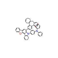 C1=CCC2=C(CC1)Cc1ccccc1-c1ccc(-c3cc4c5ccccc5oc4c4c5c(n(-c6ccc(N(c7ccccc7)c7ccccc7)cc6)c34)CCC=C5)cc12